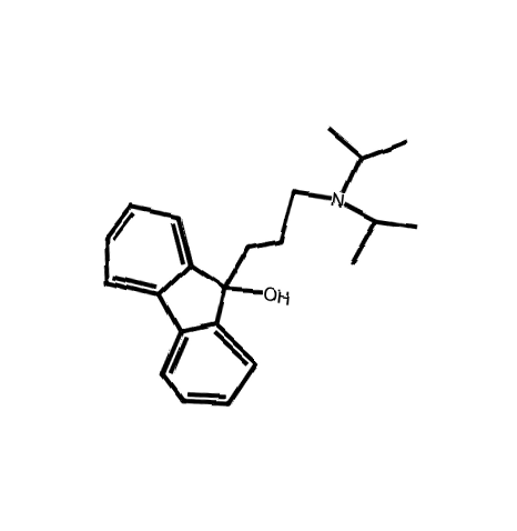 CC(C)N(CCCC1(O)c2ccccc2-c2ccccc21)C(C)C